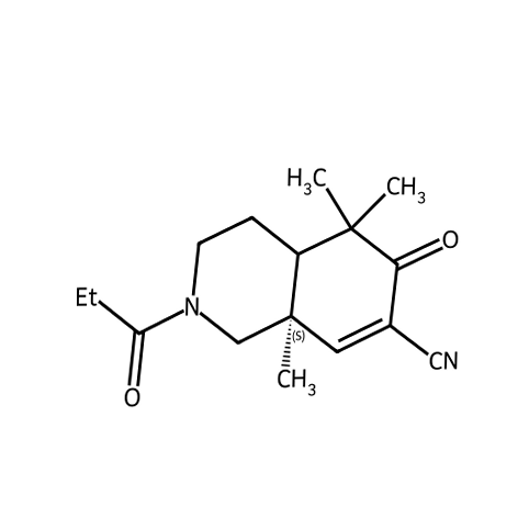 CCC(=O)N1CCC2C(C)(C)C(=O)C(C#N)=C[C@@]2(C)C1